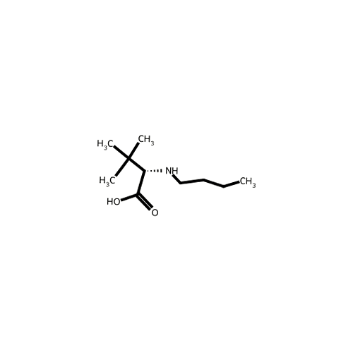 CCCCN[C@H](C(=O)O)C(C)(C)C